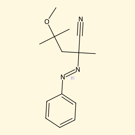 COC(C)(C)CC(C)(C#N)/N=N/c1ccccc1